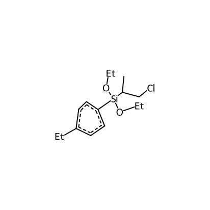 CCO[Si](OCC)(c1ccc(CC)cc1)C(C)CCl